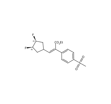 CCOC(=O)C(=CC1C[C@@H](F)[C@@H](F)C1)c1ccc(S(C)(=O)=O)cc1